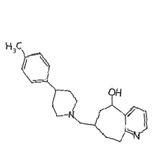 Cc1ccc(C2CCN(CC3CCc4ncccc4C(O)C3)CC2)cc1